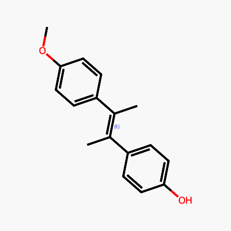 COc1ccc(/C(C)=C(\C)c2ccc(O)cc2)cc1